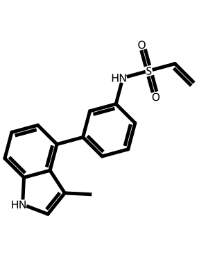 C=CS(=O)(=O)Nc1cccc(-c2cccc3[nH]cc(C)c23)c1